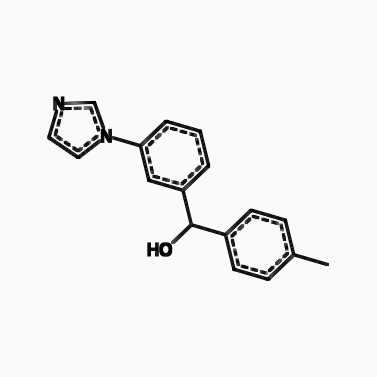 Cc1ccc(C(O)c2cccc(-n3ccnc3)c2)cc1